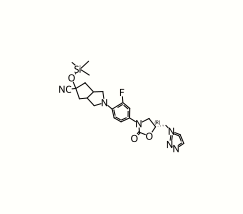 C[Si](C)(C)OC1(C#N)CC2CN(c3ccc(N4C[C@H](Cn5ccnn5)OC4=O)cc3F)CC2C1